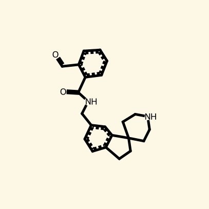 O=Cc1ccccc1C(=O)NCc1ccc2c(c1)C1(CCNCC1)CC2